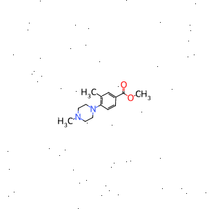 COC(=O)c1ccc(N2CCN(C)CC2)c(C)c1